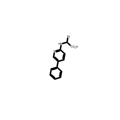 CCC(Nc1ccc(-c2ccccc2)cn1)C(=O)O